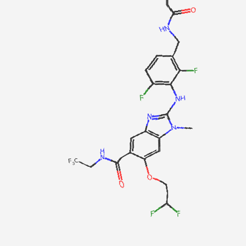 Cn1c(Nc2c(F)ccc(CNC(=O)C(C)(C)C)c2F)nc2cc(C(=O)NCC(F)(F)F)c(OCC(F)F)cc21